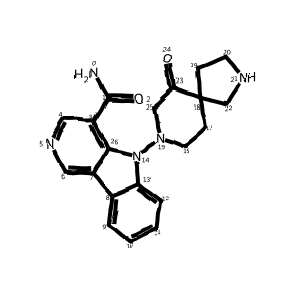 NC(=O)c1cncc2c3ccccc3n(N3CCC4(CCNC4)C(=O)C3)c12